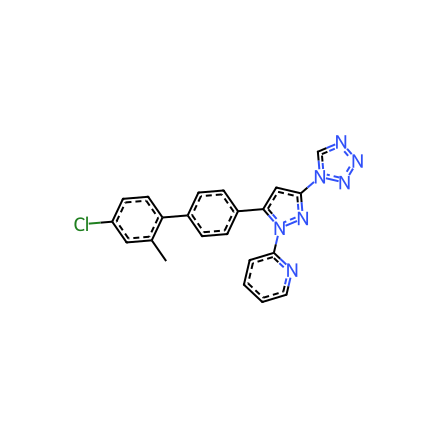 Cc1cc(Cl)ccc1-c1ccc(-c2cc(-n3cnnn3)nn2-c2ccccn2)cc1